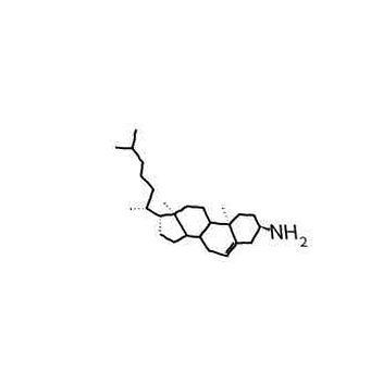 CC(C)CCC[C@@H](C)[C@H]1CCC2C3CC=C4C[C@H](N)CC[C@]4(C)C3CC[C@@]21C